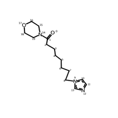 O=C(CCCCCCCn1c[c]nc1)N1CCOCC1